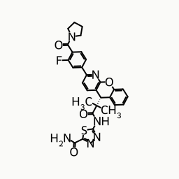 CC(C)(C(=O)Nc1nnc(C(N)=O)s1)[C@H]1c2ccccc2Oc2nc(-c3ccc(C(=O)N4CCCC4)c(F)c3)ccc21